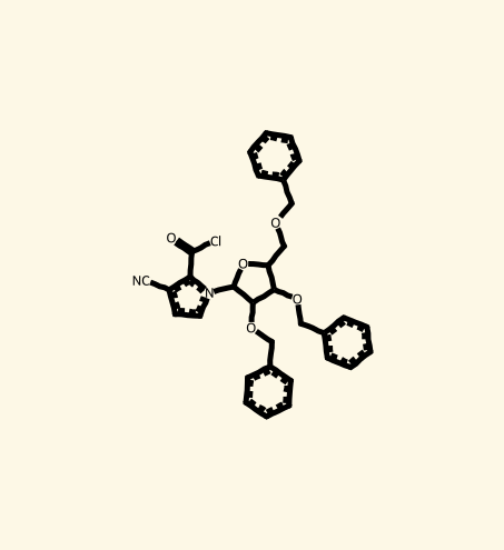 N#Cc1ccn(C2OC(COCc3ccccc3)C(OCc3ccccc3)C2OCc2ccccc2)c1C(=O)Cl